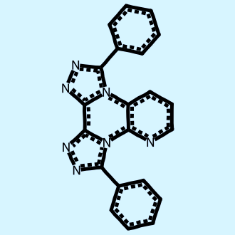 c1ccc(-c2nnc3c4nnc(-c5ccccc5)n4c4ncccc4n23)cc1